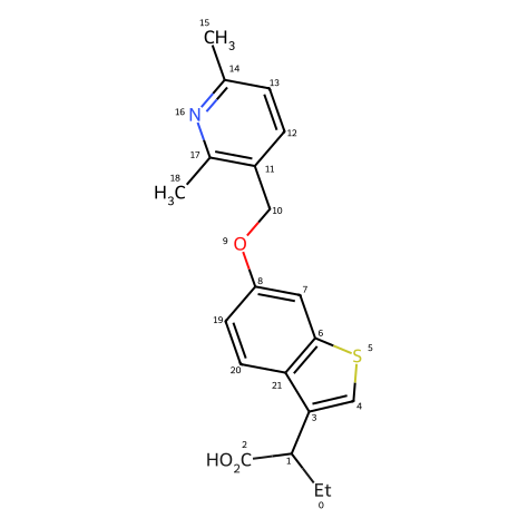 CCC(C(=O)O)c1csc2cc(OCc3ccc(C)nc3C)ccc12